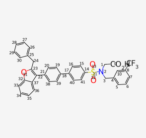 O=C(O)CN(Cc1cccc(C(F)(F)F)c1)S(=O)(=O)c1ccc(-c2ccc(-c3c(Cc4ccccc4)oc4ccccc34)cc2)cc1